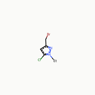 CCn1nc(CBr)cc1Cl